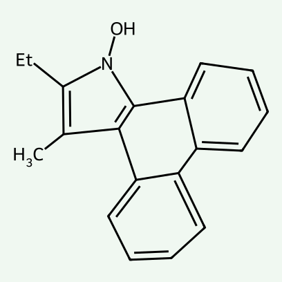 CCc1c(C)c2c3ccccc3c3ccccc3c2n1O